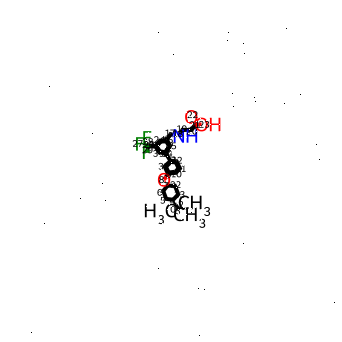 CC(C)(C)[C@H]1CC[C@H](Oc2cccc(-c3cc(CNCCC(=O)O)cc(C(F)(F)F)c3)c2)CC1